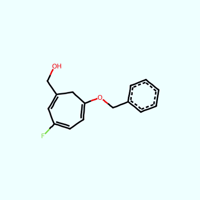 OCC1=CC(F)=CC=C(OCc2ccccc2)C1